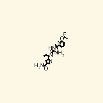 C=C/C(=N\N=C(/N)NC(C)(C)c1cccc(OC(F)F)n1)C1=NC=C(C(N)=O)C1